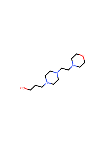 OCCCN1CCN(CCN2CCOCC2)CC1